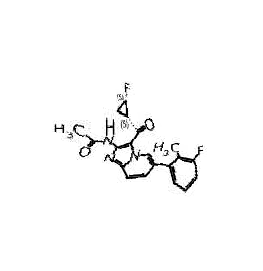 CC(=O)Nc1nc2ccc(-c3cccc(F)c3C)cn2c1C(=O)[C@@H]1C[C@@H]1F